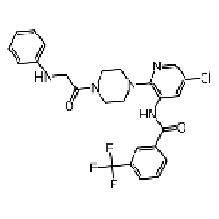 O=C(Nc1cc(Cl)cnc1N1CCN(C(=O)CNc2ccccc2)CC1)c1cccc(C(F)(F)F)c1